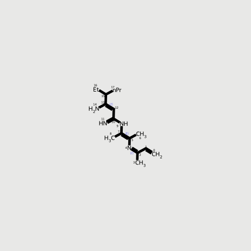 C=C/C(C)=N\C(C)=C(/C)NC(=N)/C=C(\N)C(CC)CCC